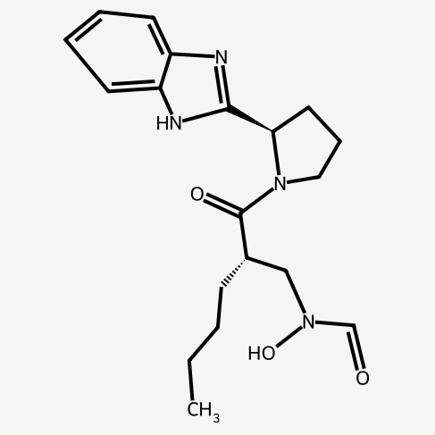 CCCC[C@@H](CN(O)C=O)C(=O)N1CCC[C@@H]1c1nc2ccccc2[nH]1